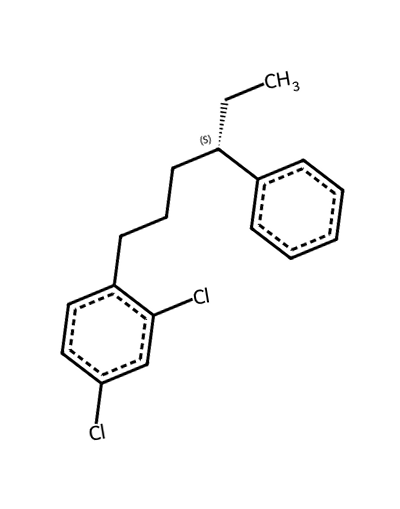 CC[C@@H](CCCc1ccc(Cl)cc1Cl)c1ccccc1